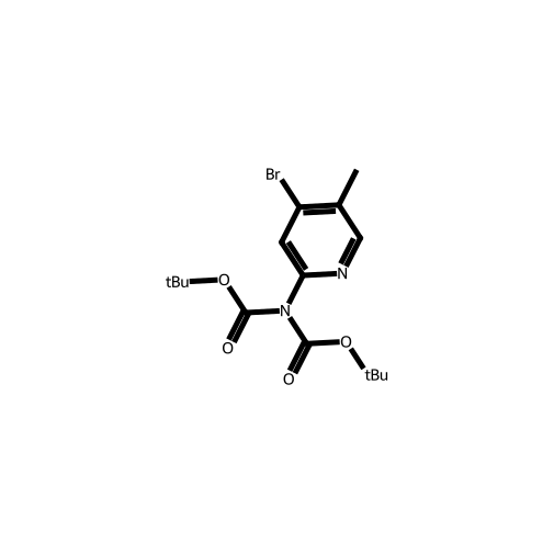 Cc1cnc(N(C(=O)OC(C)(C)C)C(=O)OC(C)(C)C)cc1Br